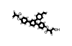 C=CC1CCC(c2cc(-c3ccc(OC(=O)C(=C)C)cc3)ccc2-c2ccc(OC(=O)C(=C)CO)cc2)CC1